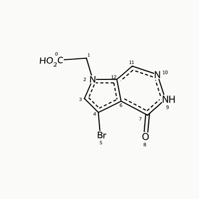 O=C(O)Cn1cc(Br)c2c(=O)[nH]ncc21